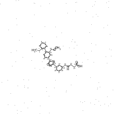 CCc1ccccc1-c1ccc(-c2nc(-c3cccc(CNCCC(=O)O)c3)no2)cc1COC